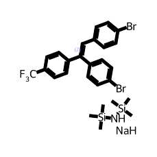 C[Si](C)(C)N[Si](C)(C)C.FC(F)(F)c1ccc(/C(=C/c2ccc(Br)cc2)c2ccc(Br)cc2)cc1.[NaH]